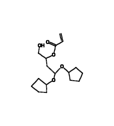 C=CC(=O)OC(CO)CC(OC1CCCC1)OC1CCCC1